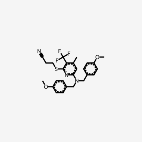 COc1ccc(CN(Cc2ccc(OC)cc2)c2cc(C)c(C(F)(F)F)c(SCCC#N)n2)cc1